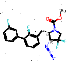 CC(C)(C)OC(=O)N1CC(F)(F)[C@H](N=[N+]=[N-])[C@@H]1Cc1cccc(-c2cccc(F)c2)c1F